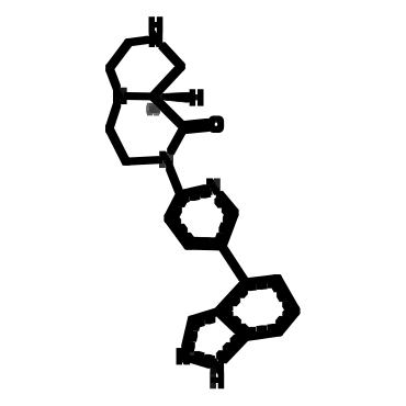 O=C1[C@H]2CNCCN2CCN1c1ccc(-c2cccc3[nH]ncc23)cn1